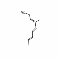 CC=CC=CC(C)=CCO